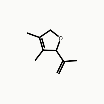 C=C(C)C1OCC(C)=C1C